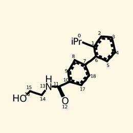 CC(C)c1ccccc1-c1ccc(C(=O)NCCO)cc1